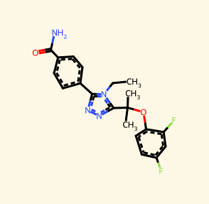 CCn1c(-c2ccc(C(N)=O)cc2)nnc1C(C)(C)Oc1ccc(F)cc1F